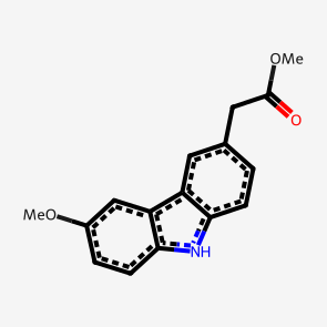 COC(=O)Cc1ccc2[nH]c3ccc(OC)cc3c2c1